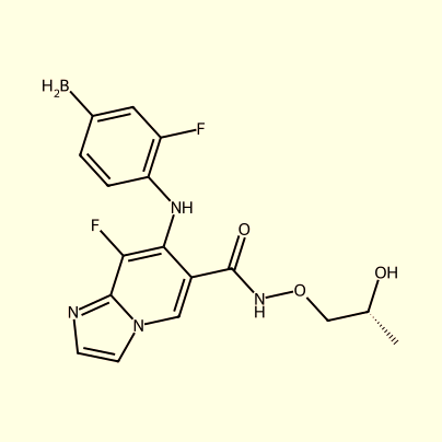 Bc1ccc(Nc2c(C(=O)NOC[C@@H](C)O)cn3ccnc3c2F)c(F)c1